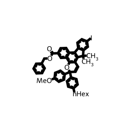 CCCCCCc1ccc(C2(c3ccc(OC)cc3)C=Cc3c4c(c5ccc(C(=O)OCc6ccccc6)cc5c3O2)-c2ccc(I)cc2C4(C)C)cc1